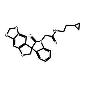 O=C(CN1C(=O)C2(COc3cc4c(cc32)OCO4)c2ccccc21)NCCC1CC1